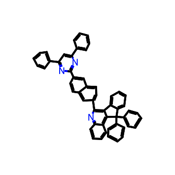 c1ccc(-c2cc(-c3ccccc3)nc(-c3ccc4cc(-c5nc6ccccc6c6c5-c5ccccc5C6(c5ccccc5)c5ccccc5)ccc4c3)n2)cc1